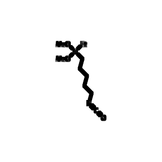 CC[Si](CCCCCN=C=O)(OC)OC